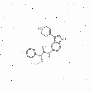 CCCON(C(=S)Nc1ccc2[nH]cc(C3=CCNCC3)c2c1)c1ccccc1